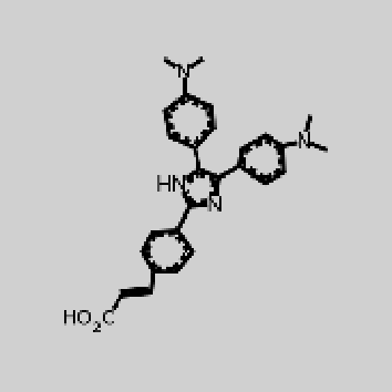 CN(C)c1ccc(-c2nc(-c3ccc(C=CC(=O)O)cc3)[nH]c2-c2ccc(N(C)C)cc2)cc1